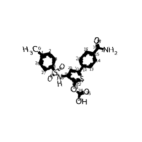 Cc1ccc(S(=O)(=O)Nc2cc(-c3ccc(C(N)=O)cc3)sc2OC(=O)O)cc1